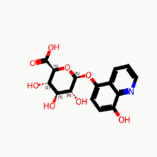 O=C(O)[C@H]1O[C@@H](Oc2ccc(O)c3ncccc23)[C@H](O)[C@@H](O)[C@@H]1O